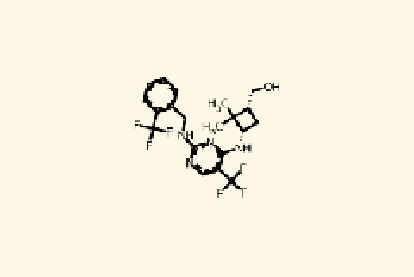 CC1(C)[C@H](CO)C[C@@H]1Nc1nc(NCc2ccccc2C(F)(F)F)ncc1C(F)(F)F